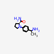 C[C@H](N)c1ccc(N2CCC[C@H]2C(N)=O)cc1